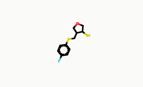 Fc1ccc(SCC2COCC2S)cc1